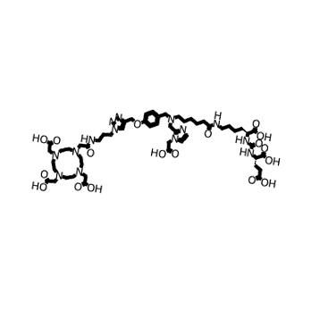 O=C(O)CC[C@H](NC(=O)N[C@@H](CCCCNC(=O)CCCCCN(Cc1ccc(OCc2cn(CCCNC(=O)CN3CCN(CC(=O)O)CCN(CC(=O)O)CCN(CC(=O)O)CC3)nn2)cc1)Cc1nccn1CC(=O)O)C(=O)O)C(=O)O